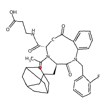 CC(=O)N1[C@H](CC23CC4CC(CC(C4)C2)C3)C(=O)N(Cc2ccccc2F)c2ccccc2C(=O)C[C@H]1C(=O)NCCC(=O)O